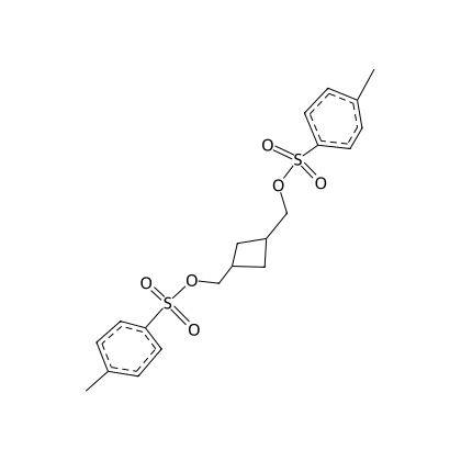 Cc1ccc(S(=O)(=O)OCC2CC(COS(=O)(=O)c3ccc(C)cc3)C2)cc1